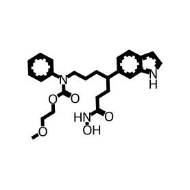 COCCOC(=O)N(CCCC(CCC(=O)NO)c1ccc2cc[nH]c2c1)c1ccccc1